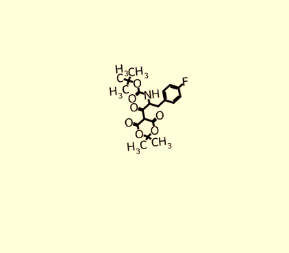 CC(C)(C)OC(=O)NC(Cc1ccc(F)cc1)C(=O)C1C(=O)OC(C)(C)OC1=O